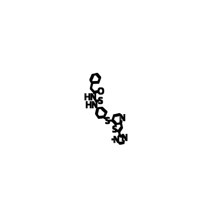 Cn1ccnc1-c1cc2nccc(Sc3ccc(NC(=S)NC(=O)Cc4ccccc4)cc3)c2s1